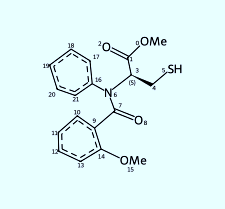 COC(=O)[C@@H](CS)N(C(=O)c1ccccc1OC)c1ccccc1